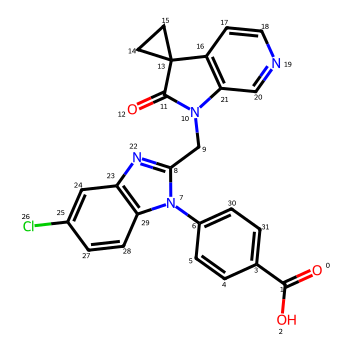 O=C(O)c1ccc(-n2c(CN3C(=O)C4(CC4)c4ccncc43)nc3cc(Cl)ccc32)cc1